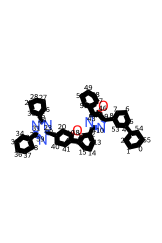 c1ccc(-c2cccc(-c3nc(-c4cccc5c4oc4cc(-c6nc(-c7ccccc7)nc(-c7ccccc7)n6)ccc45)nc4c3oc3ccccc34)c2)cc1